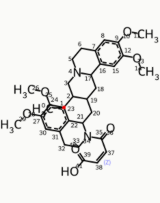 CCC1CN2CCc3cc(OC)c(OC)cc3C2CC1CC1c2cc(OC)c(OC)cc2CCN1C(=O)/C=C\C(=O)O